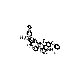 CC(C)(C=C(C#N)C(=O)N1CCCC(Nc2ncnc(N)c2C(=N)c2ccc(Oc3ccccc3)cc2F)C1)N1CCN(C2CCC2)CC1